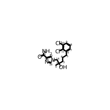 CC(O)(CCCc1cccc(Cl)c1Cl)Cn1cnc(C(N)=O)c1